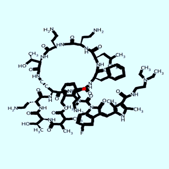 CCN(CC)CCNC(=O)c1c(C)[nH]c(/C=C2\C(=O)N(C(=O)N(C)c3c(F)cccc3COC(=O)C(C)C(C)C(=O)N[C@H](C(=O)N[C@H](CCN)C(=O)N[C@H]3CCNC(=O)[C@@H]([C@@H](C)O)NC(=O)[C@@H](CCN)NC(=O)[C@@H](CCN)NC(=O)[C@@H](CC(C)C)NC(=O)[C@@H](Cc4ccccc4)NC(=O)[C@@H](CCN)NC3=O)[C@@H](C)O)c3ccc(F)cc32)c1C